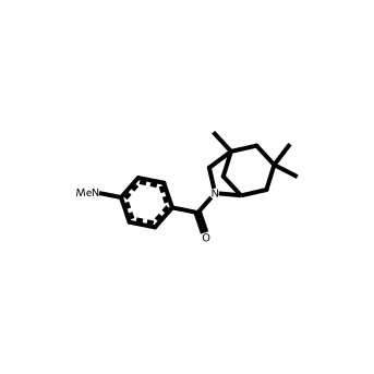 CNc1ccc(C(=O)N2CC3(C)CC2CC(C)(C)C3)cc1